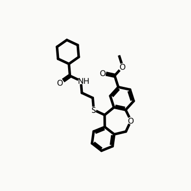 COC(=O)c1ccc2c(c1)C(SCCNC(=O)C1CCCCC1)c1ccccc1CO2